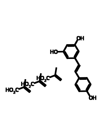 C=C(C)C(=O)O.C=C(C)C(=O)O.C=C(C)C(=O)O.Oc1ccc(C=Cc2cc(O)cc(O)c2)cc1